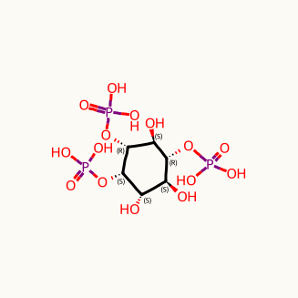 O=P(O)(O)O[C@@H]1[C@@H](O)[C@H](O)[C@H](OP(=O)(O)O)[C@H](OP(=O)(O)O)[C@H]1O